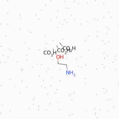 CC(=O)O.CC(=O)O.CC(=O)O.NCCO